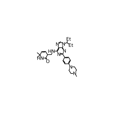 CCC(CC)n1cnc2c(NCC3C=CC(C)(C)NC3=O)nc(-c3ccc(N4CCN(C)CC4)cc3)nc21